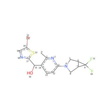 Cc1nc(N2CC3C(C2)C3(F)F)ccc1C(O)c1ncc(Br)s1